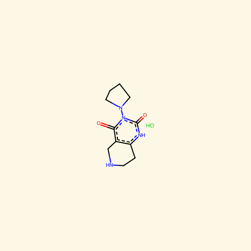 Cl.O=c1[nH]c2c(c(=O)n1N1CCCC1)CNCC2